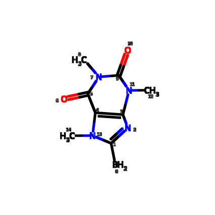 Bc1nc2c(c(=O)n(C)c(=O)n2C)n1C